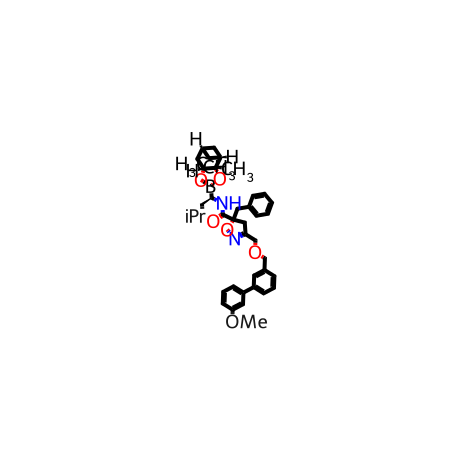 COc1cccc(-c2cccc(COCC3=NOC(Cc4ccccc4)(C(=O)N[C@@H](CC(C)C)B4O[C@@H]5C[C@@H]6C[C@@H](C6(C)C)[C@]5(C)O4)C3)c2)c1